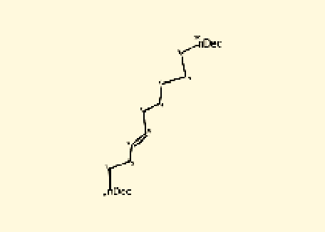 CCCCCCCCCCCCC=CCCCCCCCCCCCCCCC